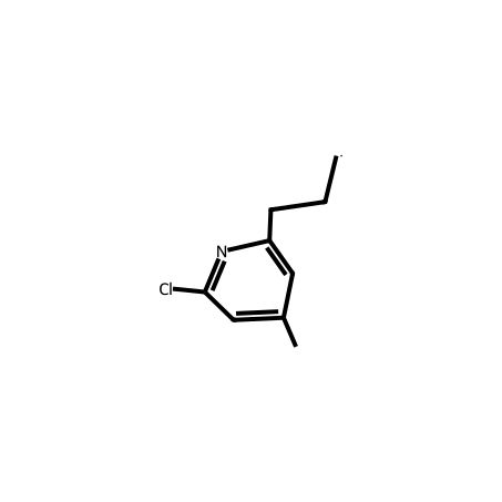 [CH2]CCc1cc(C)cc(Cl)n1